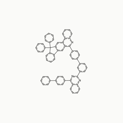 c1ccc(-c2ccc(-c3nc(-c4cccc(-c5ccc(-c6nc7ccccc7c7cc8c(cc67)-c6ccccc6C8(c6ccccc6)c6ccccc6)cc5)c4)nc4ccccc34)cc2)cc1